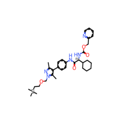 Cc1nn(COCC[Si](C)(C)C)c(C)c1-c1ccc(NC(=O)[C@@H](NC(=O)OCc2ccccn2)C2CCCCC2)cc1